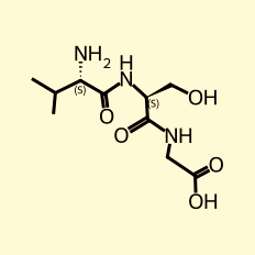 CC(C)[C@H](N)C(=O)N[C@@H](CO)C(=O)NCC(=O)O